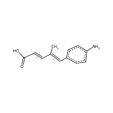 CC(/C=C/C(=O)O)=C\c1ccc(N)cc1